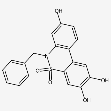 O=S1(=O)c2cc(O)c(O)cc2-c2ccc(O)cc2N1Cc1ccccc1